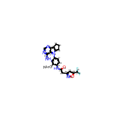 COc1cc(-n2c3c(c4ncnc(N)c42)CCC3)ccc1NC(=O)Cc1cc(C(F)F)on1